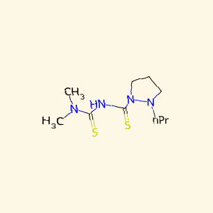 CCCN1CCCN1C(=S)NC(=S)N(C)C